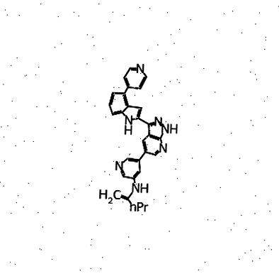 C=C(CCC)Nc1cncc(-c2cnc3[nH]nc(-c4cc5c(-c6ccncc6)cccc5[nH]4)c3c2)c1